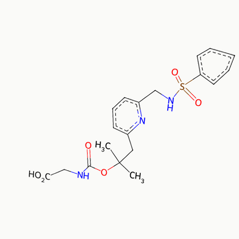 CC(C)(Cc1cccc(CNS(=O)(=O)c2ccccc2)n1)OC(=O)NCC(=O)O